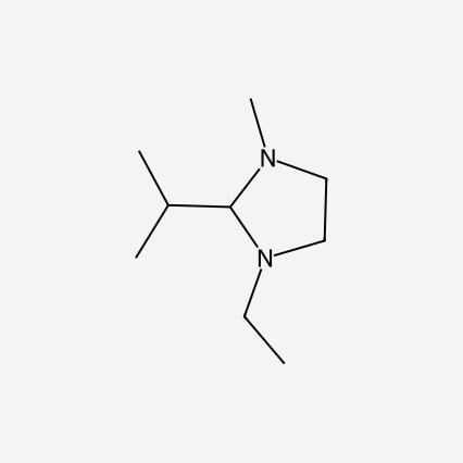 CCN1CCN(C)C1C(C)C